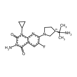 CC(C)(N)[C@@H]1CCN(c2nc3c(cc2F)c(=O)n(N)c(=O)n3C2CC2)C1